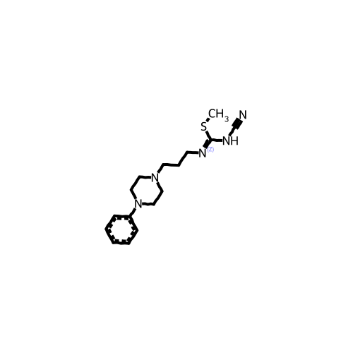 CS/C(=N\CCCN1CCN(c2ccccc2)CC1)NC#N